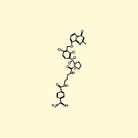 Cc1cc(=O)n2cccc(OCc3c(Cl)ccc(S(=O)(=O)N4CCC[C@H]4C(=O)NCCCNC(=O)c4ccc(C(=N)N)cc4)c3Cl)c2n1